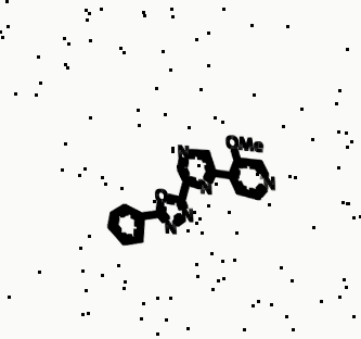 COc1cnccc1-c1cncc(-c2nnc(-c3ccccc3)o2)n1